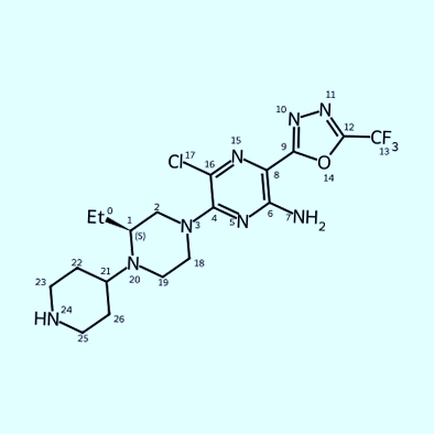 CC[C@H]1CN(c2nc(N)c(-c3nnc(C(F)(F)F)o3)nc2Cl)CCN1C1CCNCC1